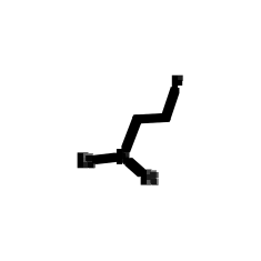 CCN(CC)CCF